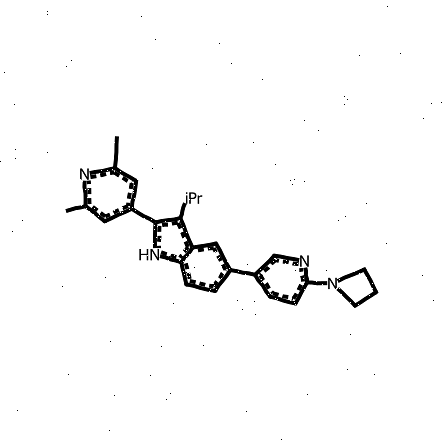 Cc1cc(-c2[nH]c3ccc(-c4ccc(N5CCC5)nc4)cc3c2C(C)C)cc(C)n1